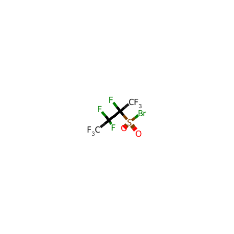 O=S(=O)(Br)C(F)(C(F)(F)F)C(F)(F)C(F)(F)F